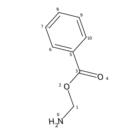 NCOC(=O)c1c[c]ccc1